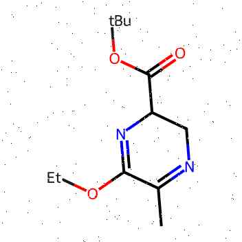 CCOC1=NC(C(=O)OC(C)(C)C)CN=C1C